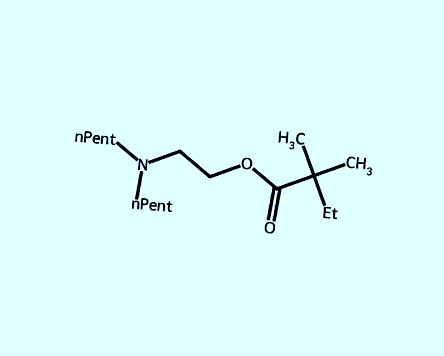 CCCCCN(CCCCC)CCOC(=O)C(C)(C)CC